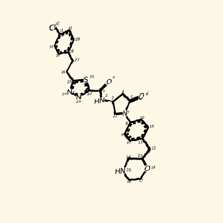 O=C(N[C@H]1CC(=O)N(c2ccc(CC3CNCCO3)cc2)C1)c1nnc(CCc2ccc(Cl)cc2)s1